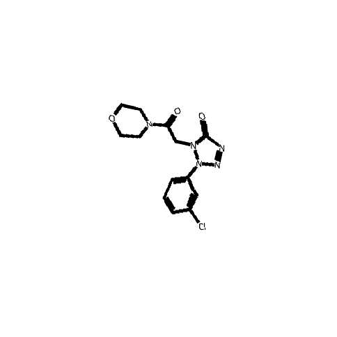 O=C(Cn1c(=O)nnn1-c1cccc(Cl)c1)N1CCOCC1